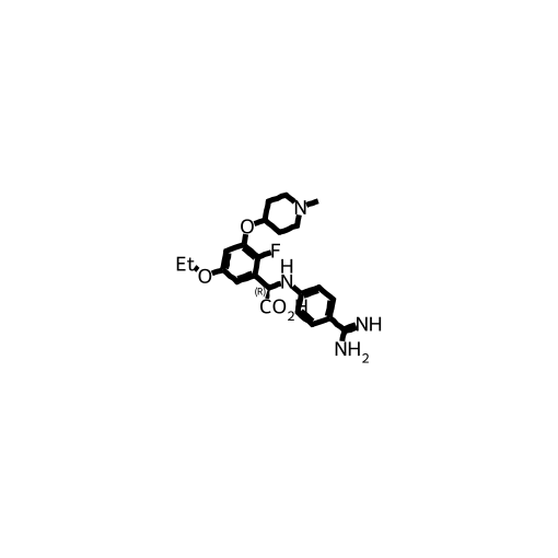 CCOc1cc(OC2CCN(C)CC2)c(F)c([C@@H](Nc2ccc(C(=N)N)cc2)C(=O)O)c1